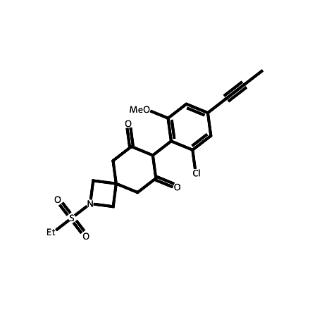 CC#Cc1cc(Cl)c(C2C(=O)CC3(CC2=O)CN(S(=O)(=O)CC)C3)c(OC)c1